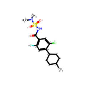 CN(C)S(=O)(=O)NC(=O)c1cc(Cl)c(C2CCC(C(F)(F)F)CC2)cc1F